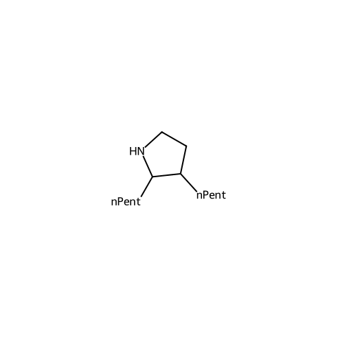 CCCCCC1CCNC1CCCCC